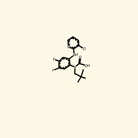 CC(C)(C)CN(C(=O)O)c1cc(F)c(F)cc1Nc1ncccc1Cl